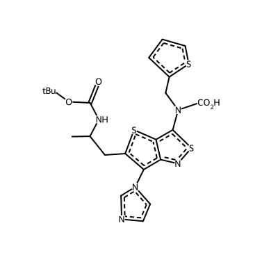 CC(Cc1sc2c(N(Cc3cccs3)C(=O)O)snc2c1-n1ccnc1)NC(=O)OC(C)(C)C